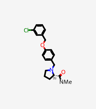 CNC(=O)[C@@H]1CCCN1Cc1ccc(OCc2cccc(Cl)c2)cc1